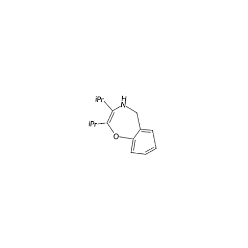 CC(C)C1=C(C(C)C)Oc2ccccc2CN1